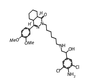 COc1ccc(C2=NN(CCCCCCNCC(O)c3cc(Cl)c(N)c(Cl)c3)C(=O)[C@@H]3CCCC[C@H]23)cc1OC